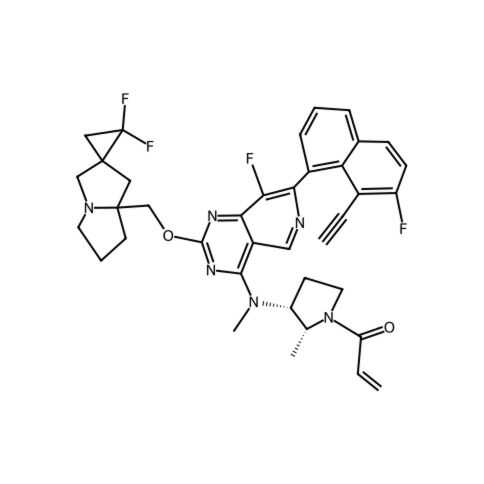 C#Cc1c(F)ccc2cccc(-c3ncc4c(N(C)[C@@H]5CCN(C(=O)C=C)[C@@H]5C)nc(OCC56CCCN5CC5(C6)CC5(F)F)nc4c3F)c12